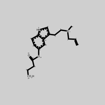 C=CCN(C)CCc1c[nH]c2ccc(OC(=O)CCC(=O)O)cc12